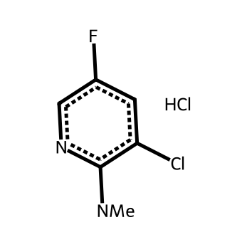 CNc1ncc(F)cc1Cl.Cl